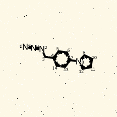 [N-]=[N+]=NCc1ccc(-n2cccc2)cc1